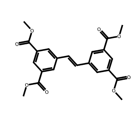 COC(=O)c1cc(/C=C/c2cc(C(=O)OC)cc(C(=O)OC)c2)cc(C(=O)OC)c1